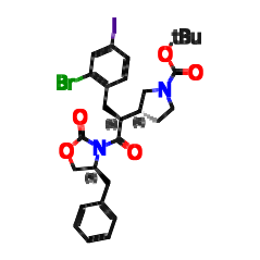 CC(C)(C)OC(=O)N1CC[C@H]([C@H](Cc2ccc(I)cc2Br)C(=O)N2C(=O)OC[C@@H]2Cc2ccccc2)C1